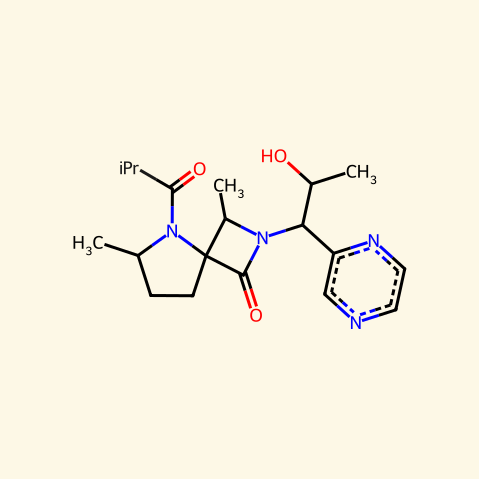 CC(C)C(=O)N1C(C)CCC12C(=O)N(C(c1cnccn1)C(C)O)C2C